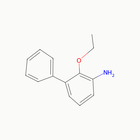 CCOc1c(N)cccc1-c1ccccc1